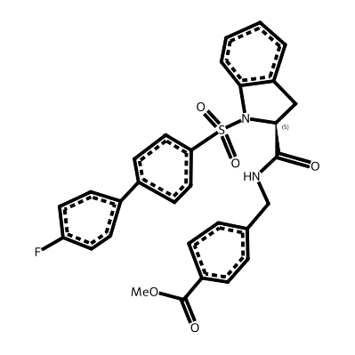 COC(=O)c1ccc(CNC(=O)[C@@H]2Cc3ccccc3N2S(=O)(=O)c2ccc(-c3ccc(F)cc3)cc2)cc1